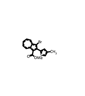 COC(=O)c1c2cccccc-2c(Br)c1-c1cc(C)cs1